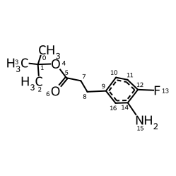 CC(C)(C)OC(=O)CCc1ccc(F)c(N)c1